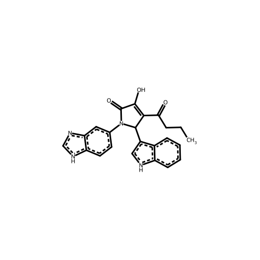 CCCC(=O)C1=C(O)C(=O)N(c2ccc3[nH]cnc3c2)C1c1c[nH]c2ccccc12